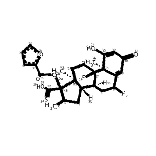 CC1C[C@H]2[C@@H]3CC(F)C4=CC(=O)C=C(O)[C@]4(C)C3(F)CC[C@]2(C)C1(OC(=O)c1ccco1)C(O)=S